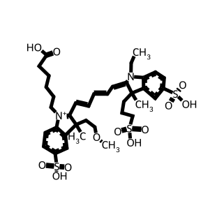 CCN1/C(=C/C=C/C=C/C2=[N+](CCCCCC(=O)O)c3ccc(S(=O)(=O)O)cc3C2(C)CCOC)C(C)(CCCS(=O)(=O)O)c2cc(S(=O)(=O)O)ccc21